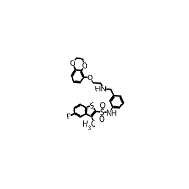 Cc1c(S(=O)(=O)Nc2cccc(CNCCOc3cccc4c3OCCO4)c2)sc2ccc(F)cc12